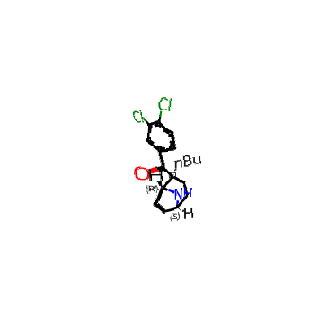 CCCC[C@]1(C(=O)c2ccc(Cl)c(Cl)c2)CC[C@H]2CC[C@H]1N2